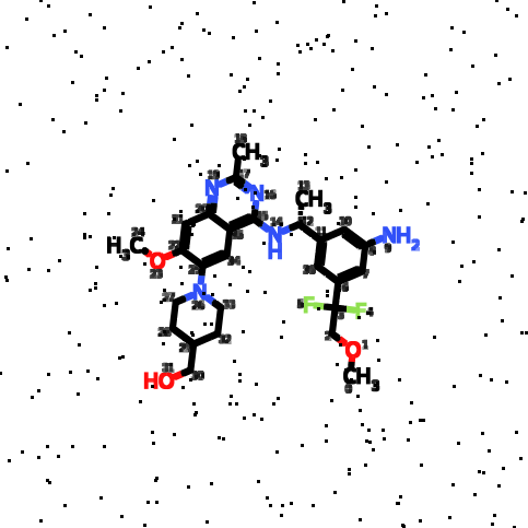 COCC(F)(F)c1cc(N)cc([C@@H](C)Nc2nc(C)nc3cc(OC)c(N4CCC(CO)CC4)cc23)c1